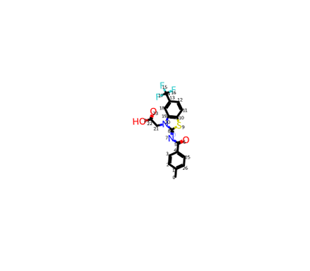 Cc1ccc(C(=O)/N=c2\sc3ccc(C(F)(F)F)cc3n2CC(=O)O)cc1